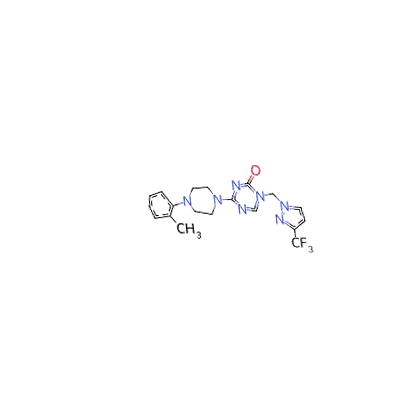 Cc1ccccc1N1CCN(c2ncn(Cn3ccc(C(F)(F)F)n3)c(=O)n2)CC1